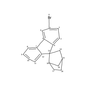 Brc1ccc2c(c1)-c1ccccc1C21CC2CCC1C2